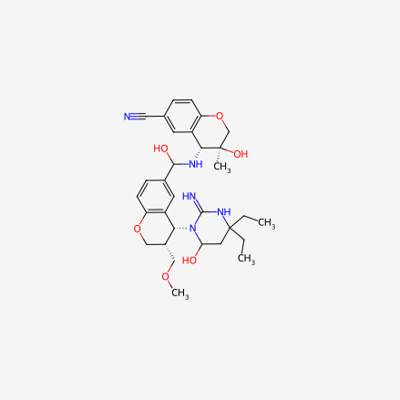 CCC1(CC)CC(O)N([C@H]2c3cc(C(O)N[C@@H]4c5cc(C#N)ccc5OC[C@@]4(C)O)ccc3OC[C@H]2COC)C(=N)N1